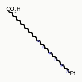 CC/C=C/C/C=C/C/C=C/C/C=C/C/C=C/C/C=C/CCCCCCCCCCCCCCC(=O)O